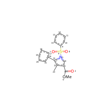 COC(=O)c1cn(S(=O)(=O)c2ccccc2)c(-c2ccccc2)c1C